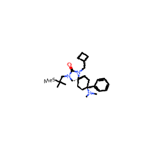 CSC(C)(C)CN1C[C@]2(CC[C@](c3ccccc3)(N(C)C)CC2)N(CC2CCC2)C1=O